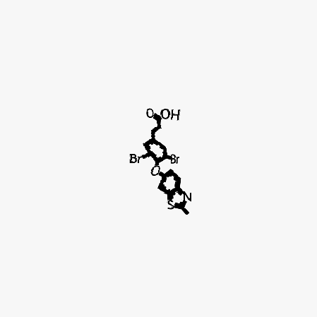 Cc1nc2ccc(Oc3c(Br)cc(CCC(=O)O)cc3Br)cc2s1